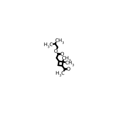 CC(=O)C1CC(CC(=O)OCC(C)C)C1(C)C